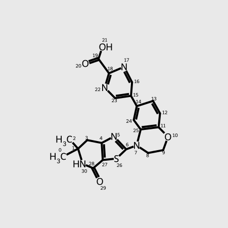 CC1(C)Cc2nc(N3CCOc4ccc(-c5cnc(C(=O)O)nc5)cc43)sc2C(=O)N1